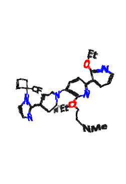 CCOc1ncccc1-c1ccc(N2CCC(c3nccn3C3(C(F)(F)F)CCC3)C[C@H]2CC)c(OCCNC)n1